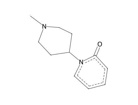 CN1CCC(n2ccccc2=O)CC1